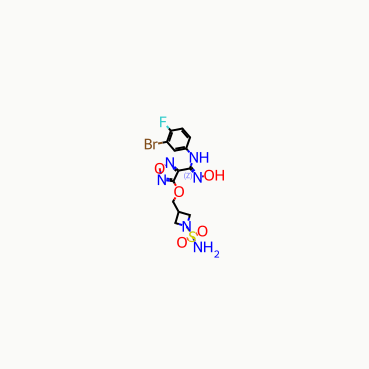 NS(=O)(=O)N1CC(COc2nonc2/C(=N/O)Nc2ccc(F)c(Br)c2)C1